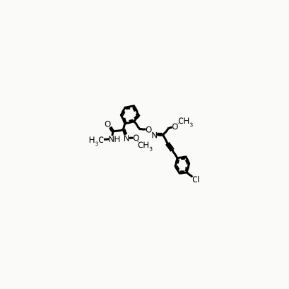 CNC(=O)/C(=N/OC)c1ccccc1CO/N=C(/C#Cc1ccc(Cl)cc1)COC